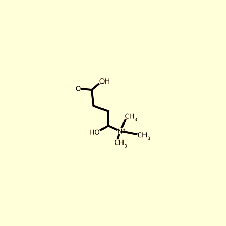 C[N+](C)(C)C(O)CCC([O-])O